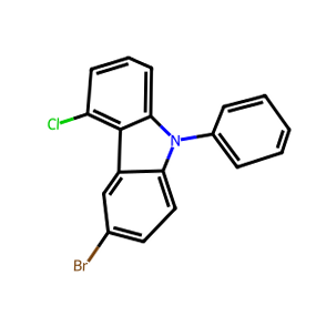 Clc1cccc2c1c1cc(Br)ccc1n2-c1ccccc1